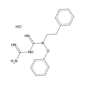 Cl.N=C(N)NC(=N)N(CCc1ccccc1)Oc1ccccc1